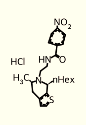 CCCCCC[C@H]1c2sccc2C[C@@H](C)N1CCNC(=O)c1ccc([N+](=O)[O-])cc1.Cl